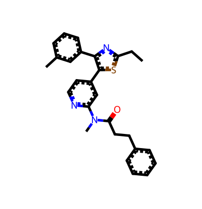 CCc1nc(-c2cccc(C)c2)c(-c2ccnc(N(C)C(=O)CCc3ccccc3)c2)s1